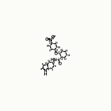 O=C(Nc1ccc2[nH]ccc2c1)c1ccccc1Oc1ccc([N+](=O)[O-])cc1